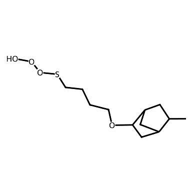 CC1CC2CC1CC2OCCCCSOOO